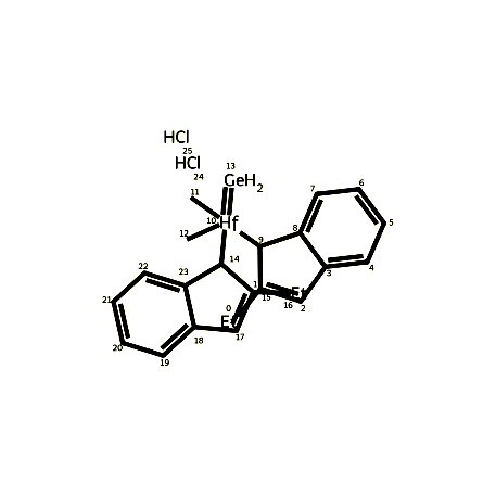 CCC1=Cc2ccccc2[CH]1[Hf]([CH3])([CH3])(=[GeH2])[CH]1C(CC)=Cc2ccccc21.Cl.Cl